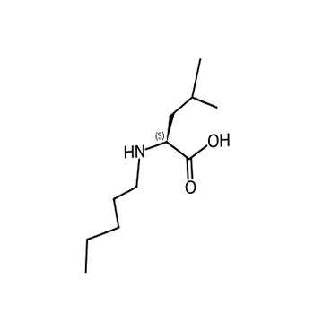 CCCCCN[C@@H](CC(C)C)C(=O)O